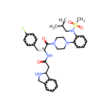 CC(C)CN(c1ccccc1N1CCN(C(=O)[C@@H](Cc2ccc(F)cc2)NC(=O)CC2NCc3ccccc32)CC1)S(C)(=O)=O